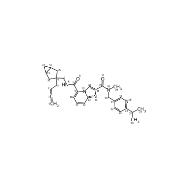 C=C=CCC1(CNC(=O)c2cccc3nc(C(=O)N(C)Cc4ccc(C(C)C)nc4)cn23)CC2CC2C1